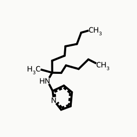 CCCCCCC(C)(CCCCC)Nc1ccccn1